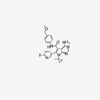 COCc1ccc(NC(=O)c2c(-c3ccc(F)nc3)n(C3(C)CC3)c3ncnc(N)c23)cc1